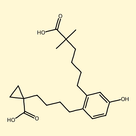 CC(C)(CCCCc1cc(O)ccc1CCCCC1(C(=O)O)CC1)C(=O)O